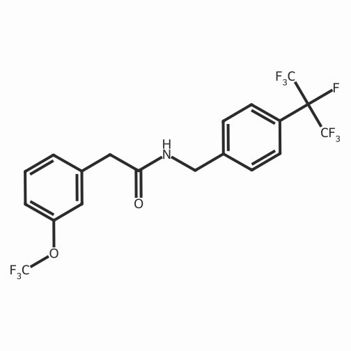 O=C(Cc1cccc(OC(F)(F)F)c1)NCc1ccc(C(F)(C(F)(F)F)C(F)(F)F)cc1